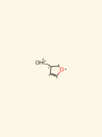 O=CC1C=COC1